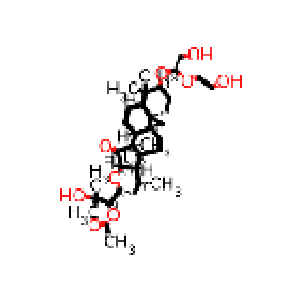 CC(=O)O[C@@H]([C@H]1C[C@@H](C)[C@@H]2[C@H](O1)C(=O)[C@@]1(C)[C@@H]3CC[C@H]4C(C)(C)[C@@H](O[C@@H](CO)OCCO)CC[C@@]45C[C@@]35CC[C@]21C)C(C)(C)O